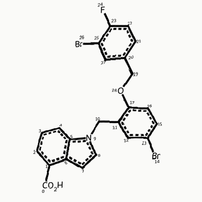 O=C(O)c1cccc2c1ccn2Cc1cc(Br)ccc1OCc1ccc(F)c(Br)c1